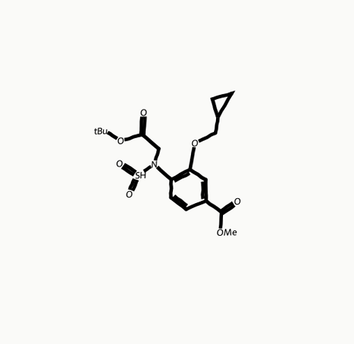 COC(=O)c1ccc(N(CC(=O)OC(C)(C)C)[SH](=O)=O)c(OCC2CC2)c1